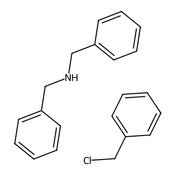 ClCc1ccccc1.c1ccc(CNCc2ccccc2)cc1